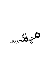 CCOC(=O)CCc1cn(C(=O)OCc2ccccc2)nc1OCC